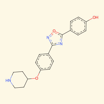 Oc1ccc(-c2nc(-c3ccc(OC4CCNCC4)cc3)no2)cc1